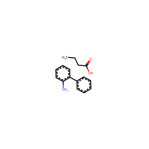 CCCC(=O)O.Nc1ccccc1-c1ccccc1